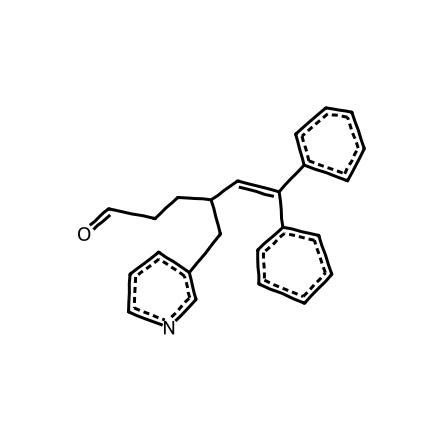 O=CCCC(C=C(c1ccccc1)c1ccccc1)Cc1cccnc1